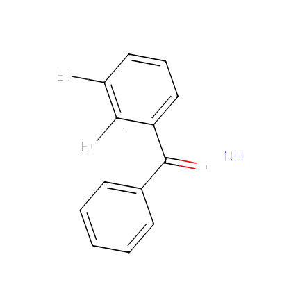 CCc1cccc(C(=O)c2ccccc2)c1CC.N